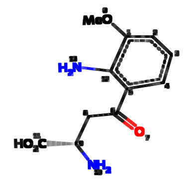 COc1cccc(C(=O)C[C@H](N)C(=O)O)c1N